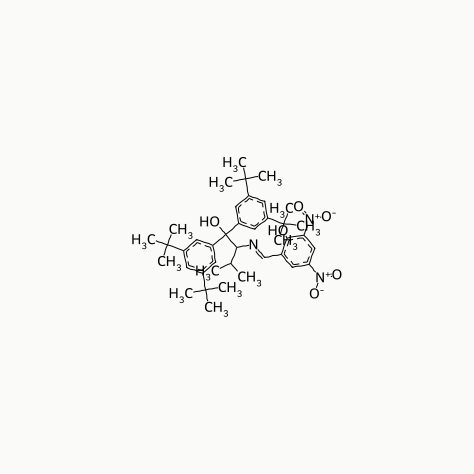 CC(C)C(N=Cc1cc([N+](=O)[O-])cc([N+](=O)[O-])c1O)C(O)(c1cc(C(C)(C)C)cc(C(C)(C)C)c1)c1cc(C(C)(C)C)cc(C(C)(C)C)c1